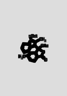 CCCCCCCCn1c(C)c(C2(OC(C)=O)OC(=O)c3ccc(C)cc32)c2ccccc21